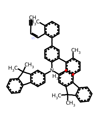 C#C/C=C\c1c(C)cccc1-c1ccc(N(c2ccc3c(c2)C(C)(C)c2ccccc2-3)c2ccc3c(c2)C(C)(C)c2ccccc2-3)c(-c2c(C)cccc2C)c1